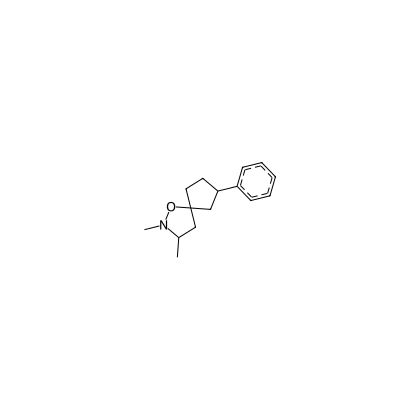 CC1CC2(CCC(c3ccccc3)C2)ON1C